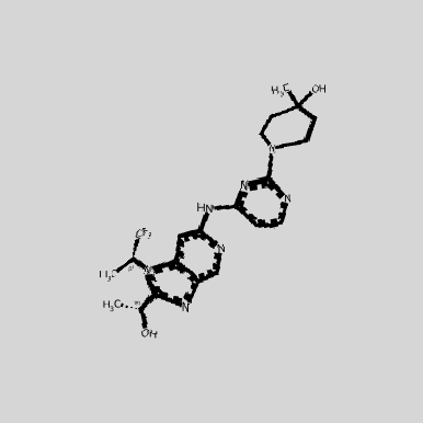 C[C@H](n1c([C@@H](C)O)nc2cnc(Nc3ccnc(N4CCC(C)(O)CC4)n3)cc21)C(F)(F)F